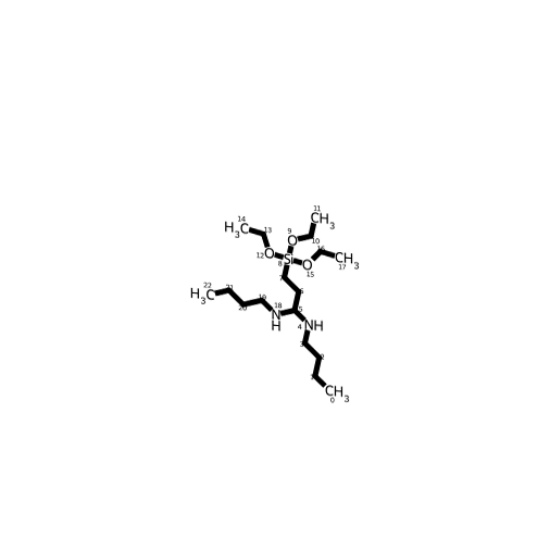 CCCCNC(CC[Si](OCC)(OCC)OCC)NCCCC